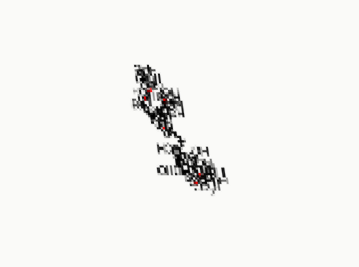 CC[C@H](C)[C@H](C[C@H](O)CC(=O)O[C@@H]1C(C)O[C@@H](OC(=O)CCCC(C)(C)CC2C[C@H](O)C[C@]3(C)C2=CCC2[C@@]4(C)CC[C@H](O[C@@H]5OC(C(=O)O)[C@@H](O)C(O[C@@H]6OC[C@@H](O)C(O)C6O)C5O[C@@H](O)C(O)[C@@H](O)C(O)CO)[C@@](C)(C=O)C4CC[C@]23C)C(O[C@@H]2OC(C)[C@H](OC(O)(O)C(O)C(C)O)C(O)C2O)C1O)OC(=O)C[C@@H](O)C[C@H](O[C@@H]1O[C@@H](CO)C(O)C1O)[C@@H](C)CC